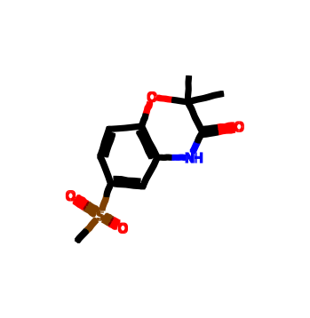 CC1(C)Oc2ccc(S(C)(=O)=O)cc2NC1=O